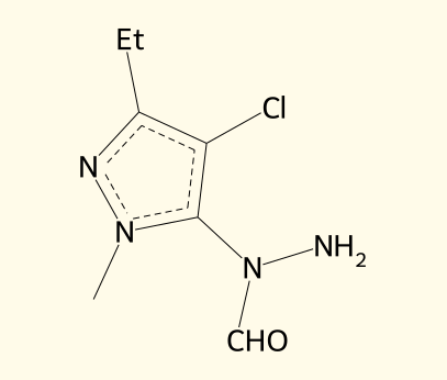 CCc1nn(C)c(N(N)C=O)c1Cl